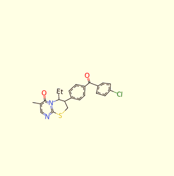 CCC1C(c2ccc(C(=O)c3ccc(Cl)cc3)cc2)CSc2ncc(C)c(=O)n21